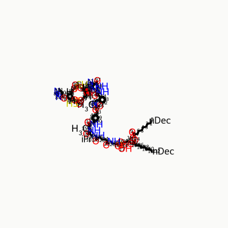 CCCCCCCCCCCCCCCCCC(=O)OC[C@H](COP(=O)(O)OCCNC(=O)CCCC(=O)N[C@H](C(=O)N[C@@H](C)C(=O)Nc1ccc(COC(=O)N(C)Cc2ccccc2C(=O)Nc2nc3c(ncn3[C@@H]3O[C@@H]4CO[P@@](=O)(S)O[C@H]5C[C@H](Oc6ccncn6)C[C@@H]5CO[P@@](=O)(S)O[C@@H]3[C@@H]4O)c(=O)[nH]2)cc1)C(C)C)OC(=O)CCCCCCCCCCCCCCCCC